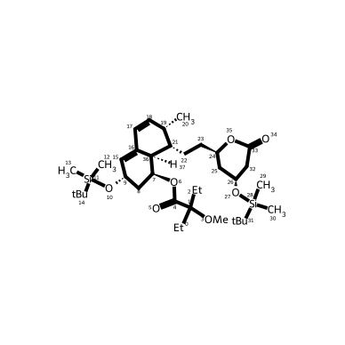 CCC(CC)(OC)C(=O)O[C@H]1C[C@H](O[Si](C)(C)C(C)(C)C)C=C2C=C[C@H](C)[C@H](CC[C@@H]3C[C@@H](O[Si](C)(C)C(C)(C)C)CC(=O)O3)[C@H]21